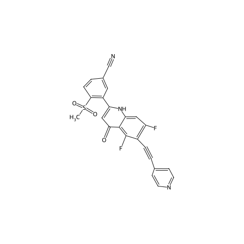 CS(=O)(=O)c1ccc(C#N)cc1-c1cc(=O)c2c(F)c(C#Cc3ccncc3)c(F)cc2[nH]1